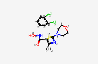 Cc1nc(N2CCOCC2)sc1C(=O)NO.Clc1ccccc1Cl